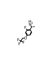 C[C@H](N)c1ccc(OCC(F)(F)F)cc1F